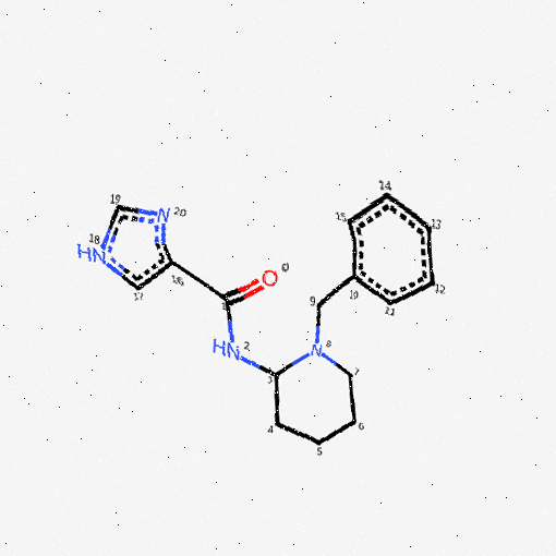 O=C(NC1CCCCN1Cc1ccccc1)c1c[nH]cn1